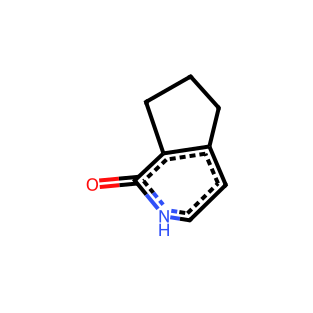 O=c1[nH]ccc2c1CCC2